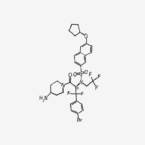 NC1CCN(C(=O)[C@@H](N(CC(F)(F)F)S(=O)(=O)c2ccc3cc(OC4CCCC4)ccc3c2)C(F)(F)c2ccc(Br)cc2)CC1